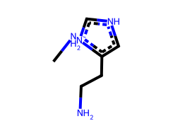 CN.NCCc1c[nH]cn1